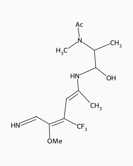 CO/C(C=N)=C(/C=C(\C)NC(O)C(C)N(C)C(C)=O)C(F)(F)F